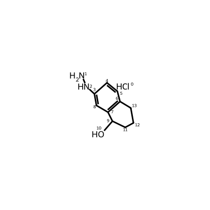 Cl.NNc1ccc2c(c1)C(O)CCC2